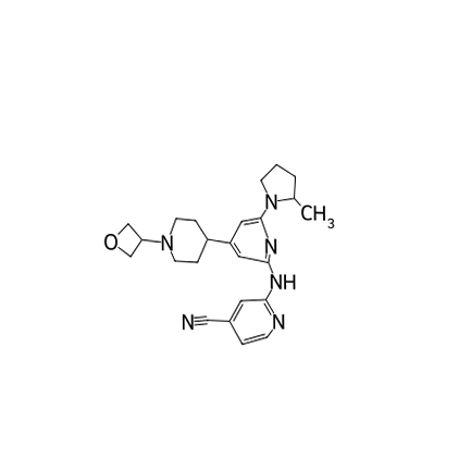 CC1CCCN1c1cc(C2CCN(C3COC3)CC2)cc(Nc2cc(C#N)ccn2)n1